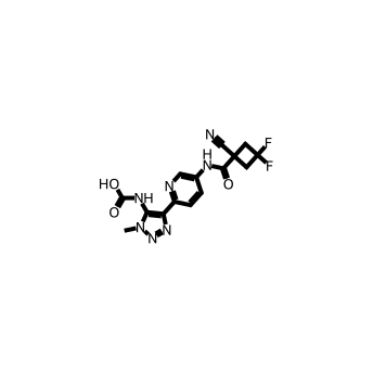 Cn1nnc(-c2ccc(NC(=O)C3(C#N)CC(F)(F)C3)cn2)c1NC(=O)O